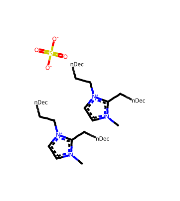 CCCCCCCCCCCC[n+]1ccn(C)c1CCCCCCCCCCC.CCCCCCCCCCCC[n+]1ccn(C)c1CCCCCCCCCCC.O=S(=O)([O-])[O-]